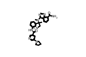 CN(c1ncnc2c(C(N)=O)cccc12)C(C)(CN)c1cccc(NC(=O)c2cncc(N3CCCC3)c2)c1